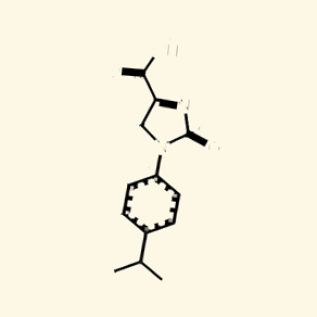 CC(C)c1ccc(N2CC(C(=O)O)=NC2=O)cc1